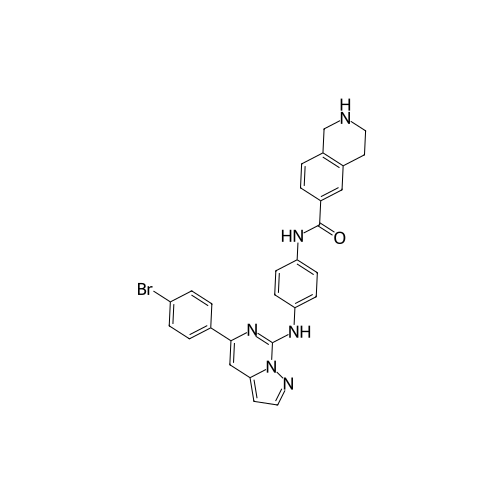 O=C(Nc1ccc(Nc2nc(-c3ccc(Br)cc3)cc3ccnn23)cc1)c1ccc2c(c1)CCNC2